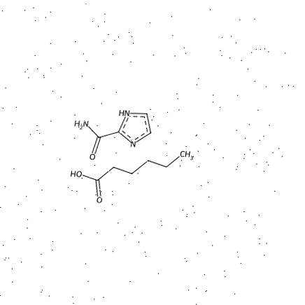 CCCCCC(=O)O.NC(=O)c1ncc[nH]1